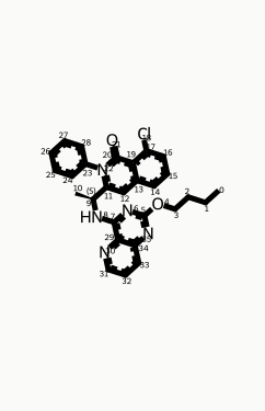 CCCCOc1nc(N[C@@H](C)c2cc3cccc(Cl)c3c(=O)n2-c2ccccc2)c2ncccc2n1